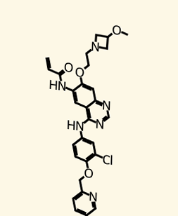 C=CC(=O)Nc1cc2c(Nc3ccc(OCc4ccccn4)c(Cl)c3)ncnc2cc1OCCN1CC(OC)C1